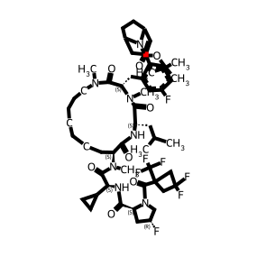 CC(C)C[C@@H]1NC(=O)[C@@H](N(C)C(=O)[C@@H](NC(=O)[C@@H]2C[C@@H](F)CN2C(=O)C2(C(F)(F)F)CC(F)(F)C2)C2CC2)CCCCCCCN(C)C(=O)[C@H](Cc2cc(F)ccc2C2=CC3CCC(C2)N3C(=O)OC(C)(C)C)N(C)C1=O